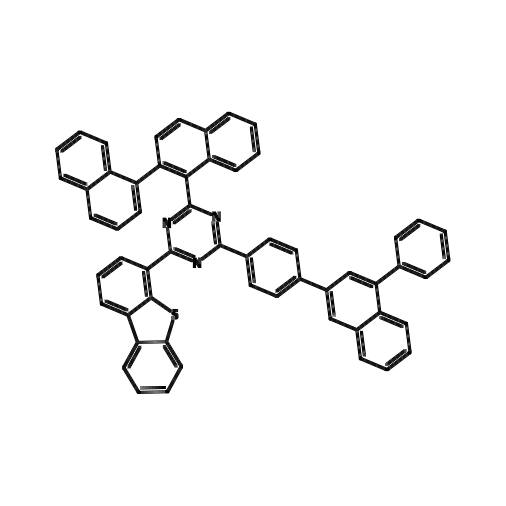 c1ccc(-c2cc(-c3ccc(-c4nc(-c5c(-c6cccc7ccccc67)ccc6ccccc56)nc(-c5cccc6c5sc5ccccc56)n4)cc3)cc3ccccc23)cc1